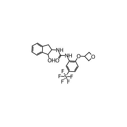 O=C(Nc1cc(S(F)(F)(F)(F)F)ccc1OC1COC1)NC1Cc2ccccc2C1O